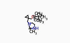 C[C@@H]1CN(CC2(CO[Si](C)(C)C(C)(C)C)CC2)CCN1